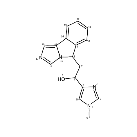 Cn1cnc(C(O)CC2c3ccccc3-c3cncn32)c1